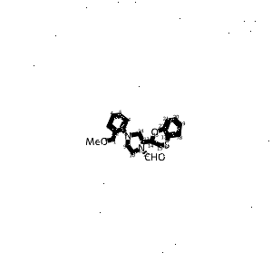 COCc1ccccc1N1CCN(C=O)C(C2CSc3ccccc3O2)C1